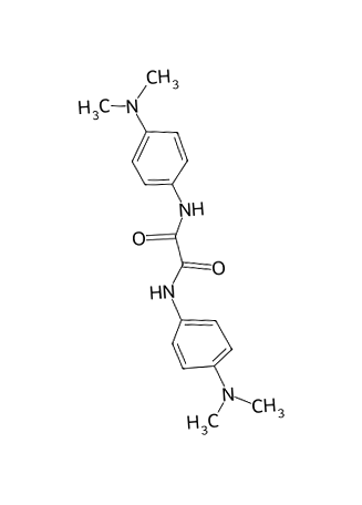 CN(C)c1ccc(NC(=O)C(=O)Nc2ccc(N(C)C)cc2)cc1